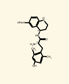 CCCCCc1ccc2c(c1)[C@H](NC(=O)[C@@H](N)Cc1c(C)cc(O)cc1C)CCN2